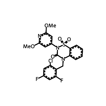 COc1cc(N2C(=O)N(Cc3c(F)cc(F)cc3Cl)c3ccccc3S2(=O)=O)cc(OC)n1